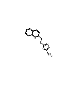 Nc1nnc(SCc2ccc3ccccc3n2)s1